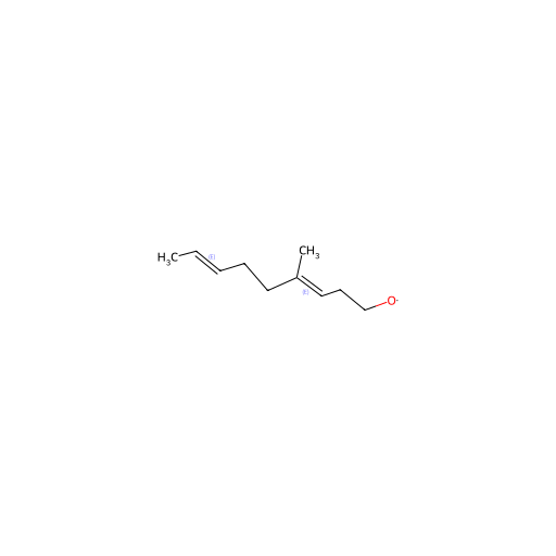 C/C=C/CC/C(C)=C/CC[O]